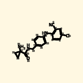 N#Cc1cc(Cl)ccc1Nc1ccc(CNC(=O)C2(N)CC2)cc1